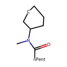 CC[CH]CCC(=O)N(C)C1CCCCC1